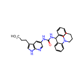 O=C(O)CCc1c[nH]c2ncc(NC(=O)NC(c3ccccc3)c3ccccc3N3CCCCC3)cc12